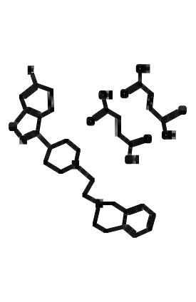 Fc1ccc2c(C3CCN(CCN4CCc5ccccc5C4)CC3)noc2c1.O=C(O)/C=C/C(=O)O.O=C(O)/C=C/C(=O)O